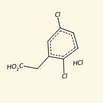 Cl.O=C(O)Cc1cc(Cl)ccc1Cl